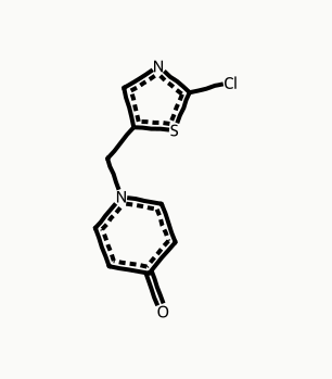 O=c1ccn(Cc2cnc(Cl)s2)cc1